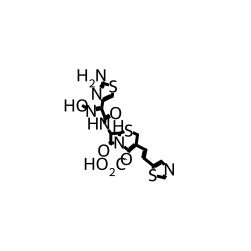 Nc1nc(C(=NO)C(=O)NC2C(=O)N3C(OC(=O)O)=C(C=Cc4cncs4)CS[C@@H]23)cs1